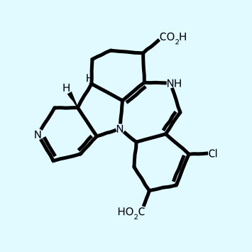 O=C(O)C1C=C(Cl)C2=CNC3=C4[C@H](CCC3C(=O)O)[C@H]3CN=CC=C3N4C2C1